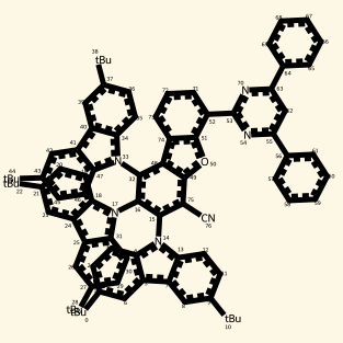 CC(C)(C)c1ccc2c(c1)c1cc(C(C)(C)C)ccc1n2-c1c(-n2c3ccc(C(C)(C)C)cc3c3cc(C(C)(C)C)ccc32)c(-n2c3ccc(C(C)(C)C)cc3c3cc(C(C)(C)C)ccc32)c2c(oc3c(-c4nc(-c5ccccc5)cc(-c5ccccc5)n4)cccc32)c1C#N